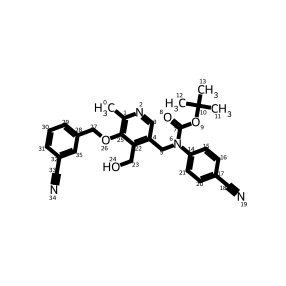 Cc1ncc(CN(C(=O)OC(C)(C)C)c2ccc(C#N)cc2)c(CO)c1OCc1cccc(C#N)c1